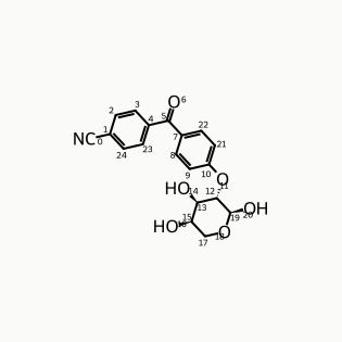 N#Cc1ccc(C(=O)c2ccc(O[C@H]3[C@H](O)[C@H](O)CO[C@@H]3O)cc2)cc1